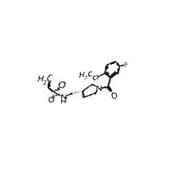 C=CS(=O)(=O)NC[C@H]1CCN(C(=O)c2cc(F)ccc2OC)C1